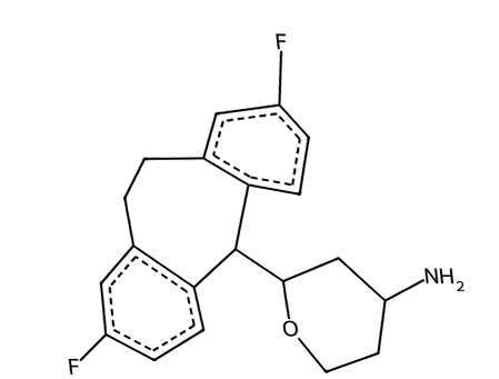 NC1CCOC(C2c3ccc(F)cc3CCc3cc(F)ccc32)C1